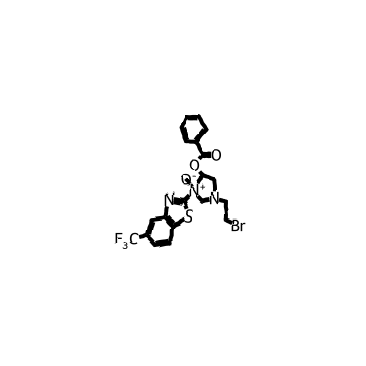 O=C(OC1CN(CCBr)C[N+]1([O-])c1nc2cc(C(F)(F)F)ccc2s1)c1ccccc1